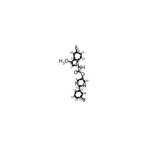 Cc1cn(NC(=O)Oc2cnc(-c3cccc(F)c3)nc2)c2ccc(F)cc12